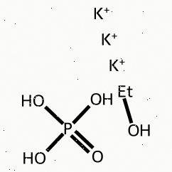 CCO.O=P(O)(O)O.[K+].[K+].[K+]